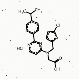 CC(C)c1ccc(-c2nccc(N(CC(=O)O)Cc3ccc(Cl)s3)n2)cc1.Cl